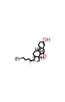 CC(C)CCC[C@@H](C)[C@H]1CC[C@H]2[C@@H]3C(=O)CC4C=C(O)CC[C@]4(C)[C@H]3CC[C@]12C